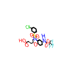 CC(C)(OC(=O)Nc1ccc2c(c1)N(S(=O)(=O)c1cccc(Cl)c1)CC(CCC(=O)O)O2)C(F)(F)F